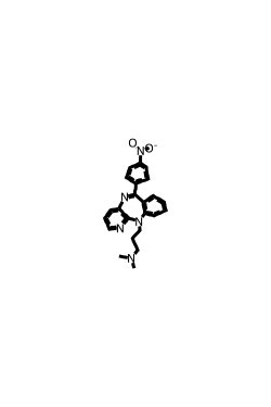 CN(C)CCCN1c2ccccc2C(c2ccc([N+](=O)[O-])cc2)=Nc2cccnc21